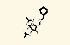 CC(=O)O[C@@H]1[C@H](F)[C@@H](COCc2ccccc2)O[C@@]1(C)OC(C)=O